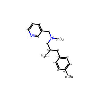 CCCCN(Cc1cccnc1)CC(C)Cc1ccc(C(C)(C)C)cc1